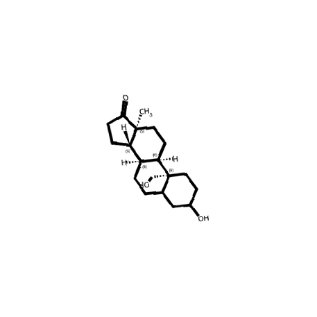 C[C@]12CC[C@@H]3[C@@H](CCC4CC(O)CC[C@@]43CO)[C@@H]1CCC2=O